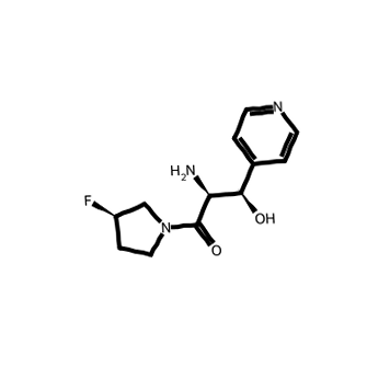 N[C@H](C(=O)N1CC[C@@H](F)C1)[C@H](O)c1ccncc1